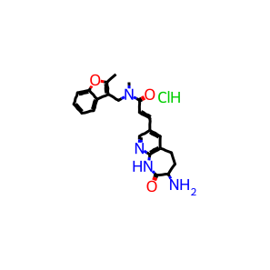 Cc1oc2ccccc2c1CN(C)C(=O)/C=C/c1cnc2c(c1)CCC(N)C(=O)N2.Cl